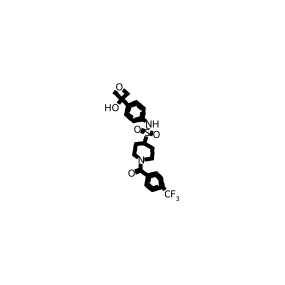 O=C(c1ccc(C(F)(F)F)cc1)N1CCC(S(=O)(=O)Nc2ccc(C3(O)COC3)cc2)CC1